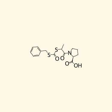 CC(SC(=O)SCc1ccccc1)C(=O)N1CCC[C@H]1C(=O)O